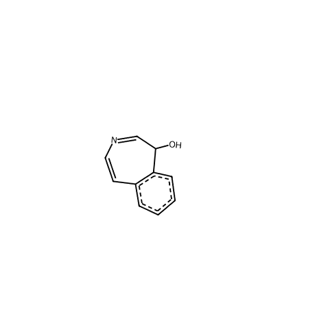 OC1C=NC=Cc2ccccc21